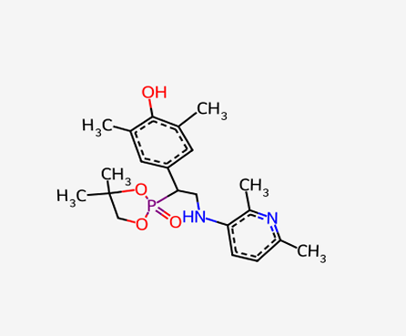 Cc1ccc(NCC(c2cc(C)c(O)c(C)c2)P2(=O)OCC(C)(C)O2)c(C)n1